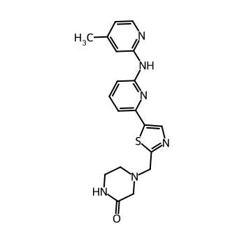 Cc1ccnc(Nc2cccc(-c3cnc(CN4CCNC(=O)C4)s3)n2)c1